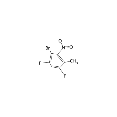 Cc1c(F)cc(F)c(Br)c1[N+](=O)[O-]